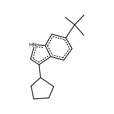 CC(C)(C)c1ccc2c(C3CCCC3)c[nH]c2c1